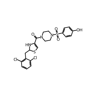 O=C(C1=CSC(Cc2c(Cl)cccc2Cl)N1)N1CCN(S(=O)(=O)c2ccc(O)cc2)CC1